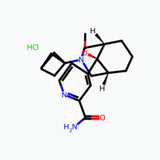 CO[C@]1(c2ccnc(C(N)=O)c2)[C@@H]2CCC[C@H]1CN(C13CC(C1)C3)C2.Cl